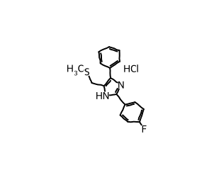 CSCc1[nH]c(-c2ccc(F)cc2)nc1-c1ccccc1.Cl